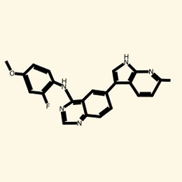 COc1ccc(Nc2ncnc3ccc(-c4c[nH]c5nc(C)ccc45)cc23)c(F)c1